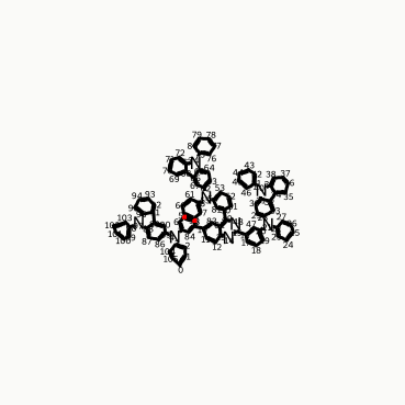 c1ccc(N(c2cccc(-c3ccc4nc(-c5cccc(N(c6ccccc6)c6ccc7c(c6)c6ccccc6n7-c6ccccc6)c5)nc(-c5cccc(N(c6ccccc6)c6ccc7c(c6)c6ccccc6n7-c6ccccc6)c5)c4c3)c2)c2ccc3c(c2)c2ccccc2n3-c2ccccc2)cc1